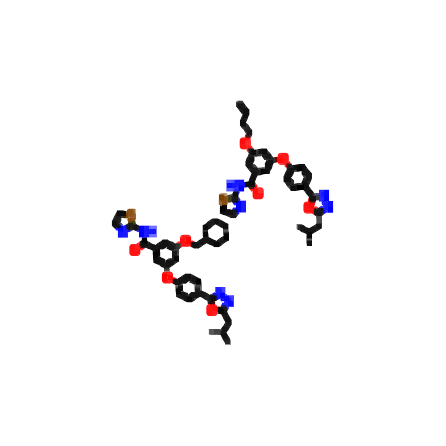 C=CCCOc1cc(Oc2ccc(-c3nnc(CC(C)C)o3)cc2)cc(C(=O)Nc2nccs2)c1.CC(C)Cc1nnc(-c2ccc(Oc3cc(OCC4CCCCC4)cc(C(=O)Nc4nccs4)c3)cc2)o1